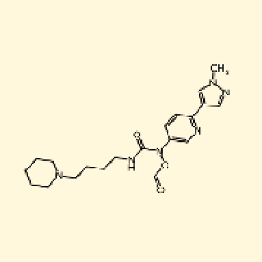 Cn1cc(-c2ccc(N(OC=O)C(=O)NCCCCN3CCCCC3)cn2)cn1